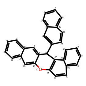 c1ccc2cc(C3c4cc5ccccc5cc4Oc4ccc5ccccc5c43)ccc2c1